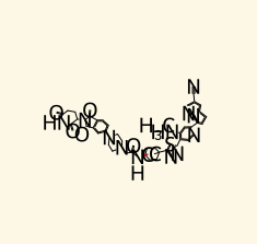 CNc1cc(-c2ccc3cc(C#N)cnn23)ncc1-c1nnc(C23CCC(NC(=O)CN4CCN(c5ccc6c(c5)C(=O)N(C5CCC(=O)NC5=O)C6=O)CC4)(CC2)CC3)s1